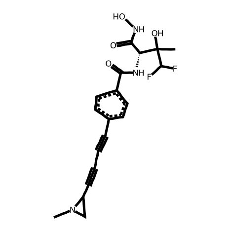 CN1CC1C#CC#Cc1ccc(C(=O)N[C@H](C(=O)NO)C(C)(O)C(F)F)cc1